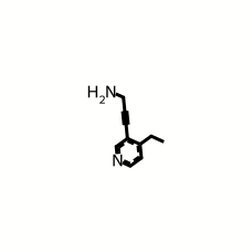 CCc1ccncc1C#CCN